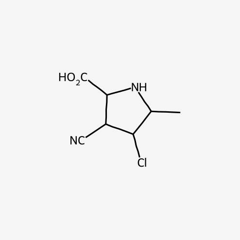 CC1NC(C(=O)O)C(C#N)C1Cl